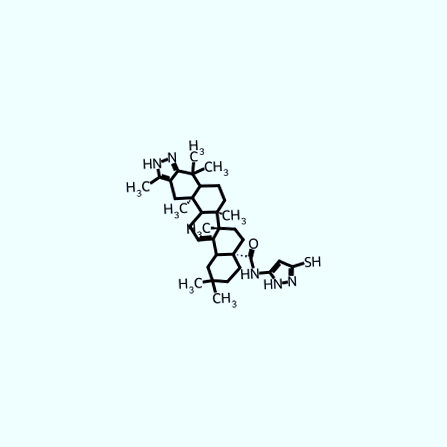 Cc1[nH]nc2c1C[C@@]1(C)C(CC[C@]3(C)C1CC=C1C4CC(C)(C)CC[C@]4(C(=O)Nc4cc(S)n[nH]4)CC[C@]13C)C2(C)C